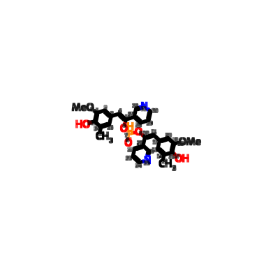 COc1cc(C=C(O[PH](=O)OC(=Cc2cc(C)c(O)c(OC)c2)c2cccnc2)c2cccnc2)cc(C)c1O